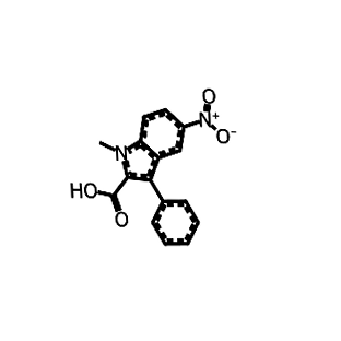 Cn1c(C(=O)O)c(-c2ccccc2)c2cc([N+](=O)[O-])ccc21